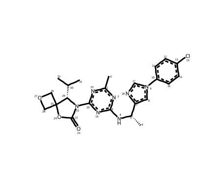 Cc1nc(N[C@@H](C)c2cn(-c3ccc(Cl)cc3)cn2)nc(N2C(=O)OC3(COC3)[C@@H]2C(C)C)n1